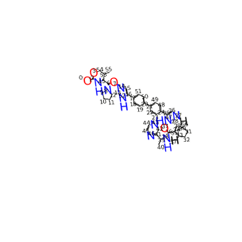 COC(=O)N[C@H](C(=O)N1CCC[C@H]1c1ncc(-c2ccc(-c3ccc(-c4cnc([C@@H]5[C@H]6CC[C@H](C6)[C@H]5C(=O)N[C@@H](C)c5cnccn5)[nH]4)cc3)cc2)[nH]1)C(C)C